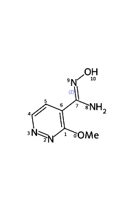 COc1nnccc1/C(N)=N/O